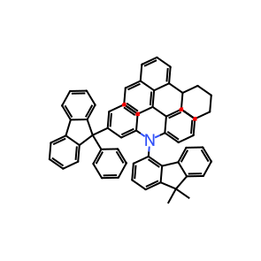 CC1(C)c2ccccc2-c2c(N(c3cccc(C4(c5ccccc5)c5ccccc5-c5ccccc54)c3)c3ccccc3-c3cccc4cccc(C5CCCCC5)c34)cccc21